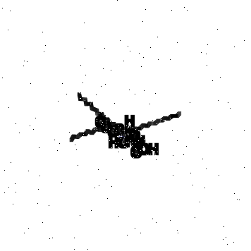 CCCCCCCCCCCCCC(=O)N/C(=C\OC(=O)CC(CCCCCCCCCCC)OC(=O)CCCCCCCCC)C(O)CCC(NC)C(=O)O